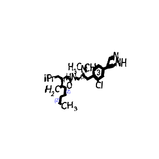 C=C(/C=C\C=C/C)[C@H](CC(=O)NC[C@H](Cc1ccc(-c2cn[nH]c2)cc1Cl)N(C)C)CC(C)C